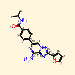 CC(C)NC(=O)c1ccc(-c2cn3nc(-c4ccco4)nc3c(N)n2)cc1